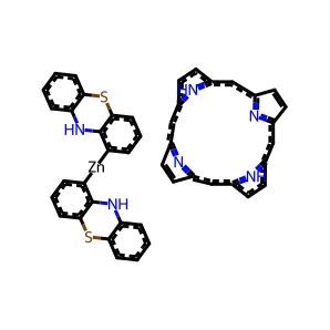 C1=Cc2cc3ccc(cc4nc(cc5ccc(cc1n2)[nH]5)C=C4)[nH]3.c1ccc2c(c1)Nc1c(ccc[c]1[Zn][c]1cccc3c1Nc1ccccc1S3)S2